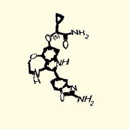 NC(=O)[C@@H](Oc1cc2c3c(c(-c4ccc5oc(N)nc5c4)[nH]c3c1)NCCO2)C1CC1